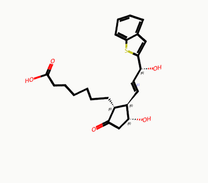 O=C(O)CCCCCC[C@H]1C(=O)C[C@@H](O)[C@@H]1/C=C/[C@@H](O)c1cc2ccccc2s1